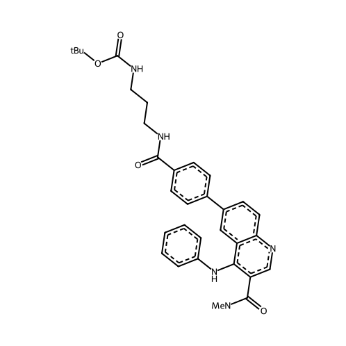 CNC(=O)c1cnc2ccc(-c3ccc(C(=O)NCCCNC(=O)OC(C)(C)C)cc3)cc2c1Nc1ccccc1